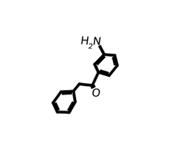 Nc1cccc(C(=O)Cc2ccccc2)c1